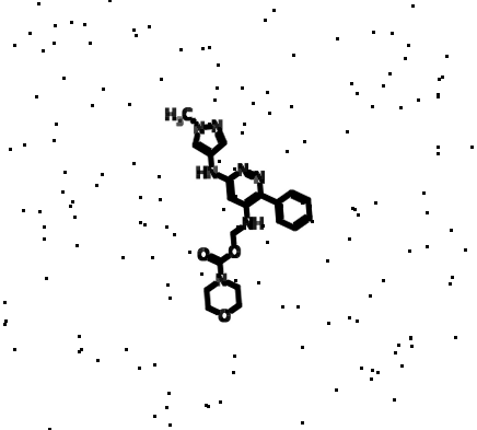 Cn1cc(Nc2cc(NCOC(=O)N3CCOCC3)c(-c3ccccc3)nn2)cn1